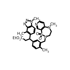 CCOC(=O)CC(c1ccc(C)c(CN2CCN(C)c3ccncc3S2(=O)=O)c1)c1ccc2c(nnn2C)c1C